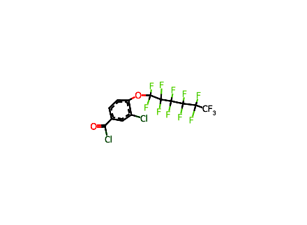 O=C(Cl)c1ccc(OC(F)(F)C(F)(F)C(F)(F)C(F)(F)C(F)(F)C(F)(F)F)c(Cl)c1